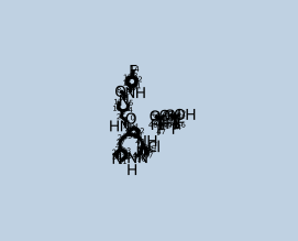 O=C(CC1CCN(C(=O)Nc2ccc(F)cc2)CC1)Nc1ccc2cc1CCc1cncc(c1)Nc1ncc(Cl)c(n1)N2.O=C(O)C(F)(F)F.O=C(O)C(F)(F)F